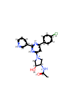 CC(=O)N[C@@H]1CN(c2cc(-c3ccc(Cl)cc3)nc(-c3cccnc3)n2)C[C@@H]1O